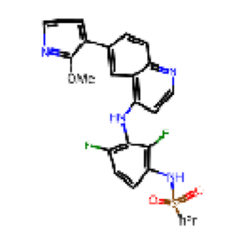 CCCS(=O)(=O)Nc1ccc(F)c(Nc2ccnc3ccc(-c4cccnc4OC)cc23)c1F